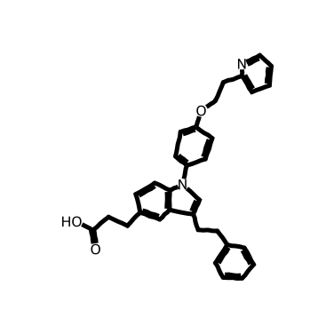 O=C(O)CCc1ccc2c(c1)c(CCc1ccccc1)cn2-c1ccc(OCCc2ccccn2)cc1